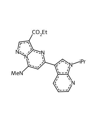 CCOC(=O)c1cnn2c(NC)cc(-c3cn(C(C)C)c4ncccc34)nc12